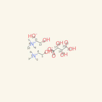 C[N+](C)(C)CCO.C[N+](C)(C)CCO.O=C([O-])C(O)C(O)C(=O)O.[OH-]